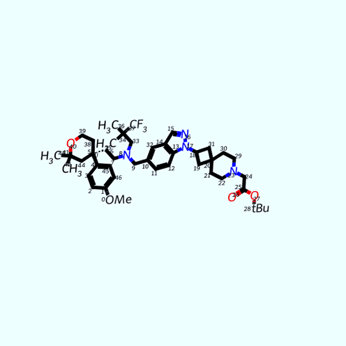 COc1ccc([C@]2(CCN(Cc3ccc4c(cnn4C4CC5(CCN(CC(=O)OC(C)(C)C)CC5)C4)c3)CC(C)(C)C(F)(F)F)CCOC(C)(C)C2)cc1